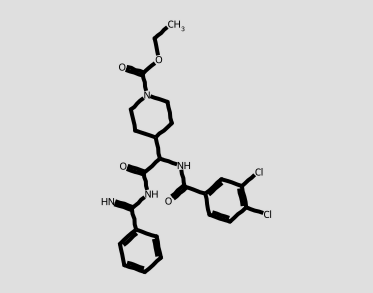 CCOC(=O)N1CCC(C(NC(=O)c2ccc(Cl)c(Cl)c2)C(=O)NC(=N)c2ccccc2)CC1